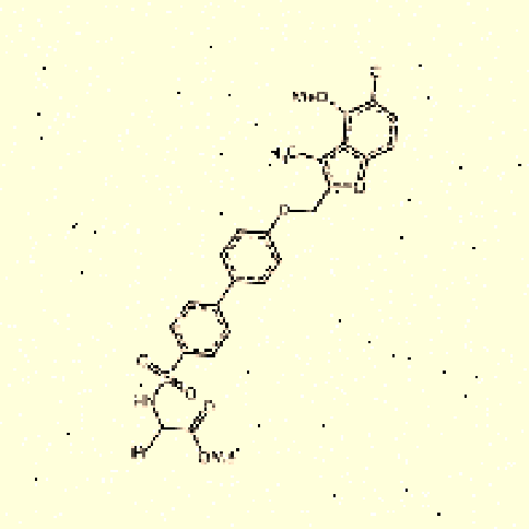 COC(=O)C(NS(=O)(=O)c1ccc(-c2ccc(OCc3oc4ccc(Cl)c(OC)c4c3C)cc2)cc1)C(C)C